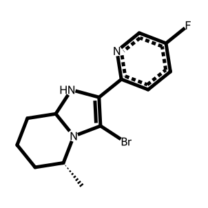 C[C@@H]1CCCC2NC(c3ccc(F)cn3)=C(Br)N21